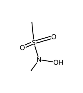 CN(O)S(C)(=O)=O